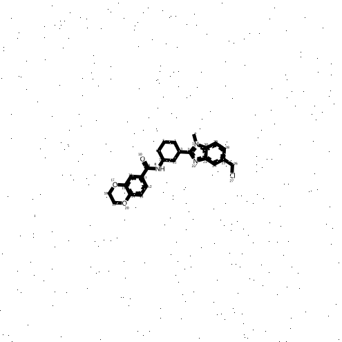 Cn1c(C2CCCC(NC(=O)c3ccc4c(c3)OCCO4)C2)nc2cc(CCl)ccc21